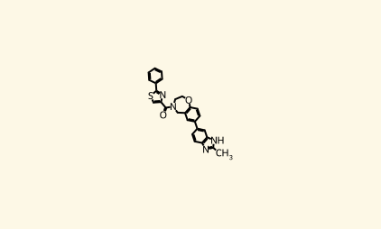 Cc1nc2ccc(-c3ccc4c(c3)CN(C(=O)c3csc(-c5ccccc5)n3)CCO4)cc2[nH]1